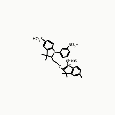 CCCCC[N+]1=C(CCCC2N(c3cccc(S(=O)(=O)O)c3)c3ccc(S(=O)(=O)O)cc3C2(C)C)C(C)(C)c2cc(C)ccc21